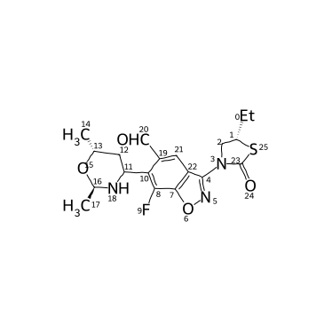 CC[C@H]1CN(c2noc3c(F)c(C4C[C@@H](C)O[C@H](C)N4)c(C=O)cc23)C(=O)S1